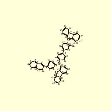 c1ccc2cc(-c3ccc(N(c4ccc(-c5ccc6c(c5)Oc5cccc7c8ccccc8n-6c57)cc4)c4cccc5c4oc4ccccc45)cc3)ccc2c1